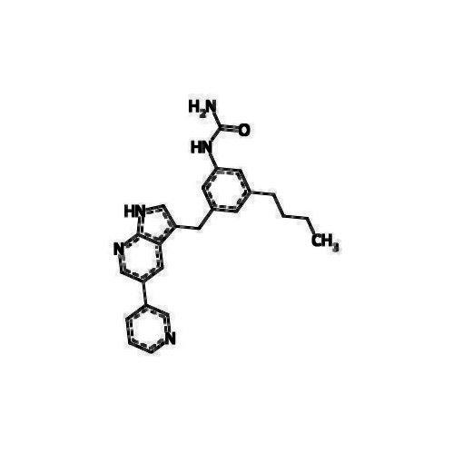 CCCCc1cc(Cc2c[nH]c3ncc(-c4cccnc4)cc23)cc(NC(N)=O)c1